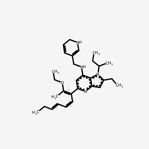 CC/C=C/C=C\C(=C(/C)OCC)c1cc(NCC2=CNCC=C2)c2c(cc(CC)n2C(C)CC)n1